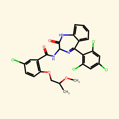 COC(C)COc1ccc(Cl)cc1C(=O)NC1N=C(c2c(Cl)cc(Cl)cc2Cl)c2ccccc2NC1=O